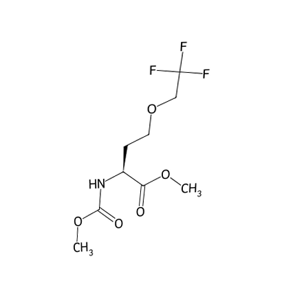 COC(=O)N[C@@H](CCOCC(F)(F)F)C(=O)OC